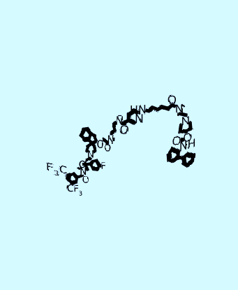 CN(CCN1CCC(OC(=O)Nc2ccccc2-c2ccccc2)CC1)C(=O)CCCCCNc1ccc(C(=O)N(C)CCCN(C)C(=O)COC2Cc3ccccc3C23CCN(CC[C@@]2(c4ccc(F)cc4)CN(C(=O)c4cc(C(F)(F)F)cc(C(F)(F)F)c4)CO2)CC3)cn1